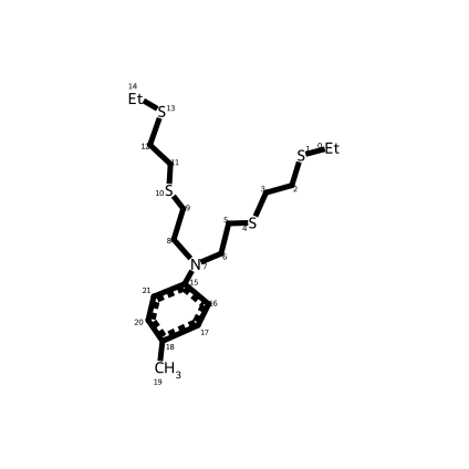 CCSCCSCCN(CCSCCSCC)c1ccc(C)cc1